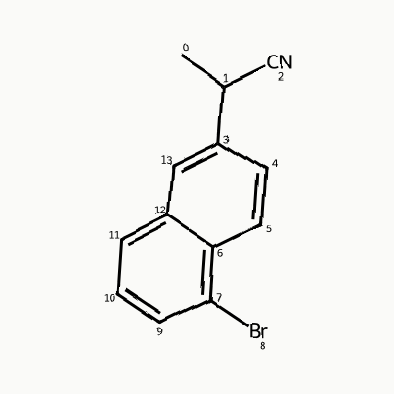 CC(C#N)c1ccc2c(Br)cccc2c1